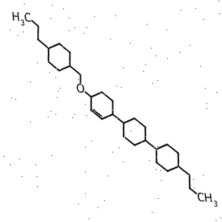 CCCC1CCC(COC2C=CC(C3CCC(C4CCC(CCC)CC4)CC3)CC2)CC1